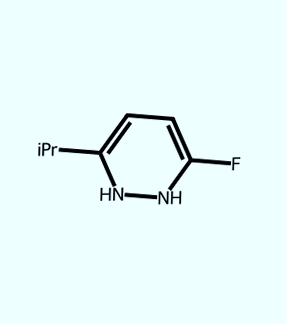 CC(C)C1=CC=C(F)NN1